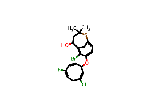 CC1(C)CC(O)C2=C(Br)C(OC3/C=C\C(F)=C/C/C(Cl)=C\3)=CC=C(C2)S1